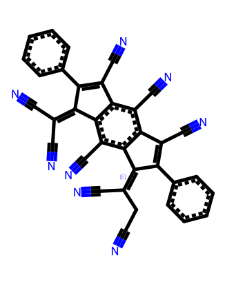 N#CC/C(C#N)=C1\C(c2ccccc2)=C(C#N)c2c(C#N)c3c(c(C#N)c21)C(=C(C#N)C#N)C(c1ccccc1)=C3C#N